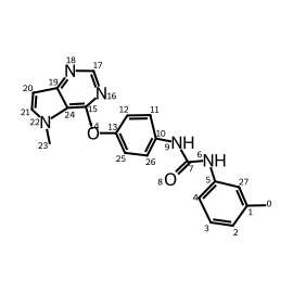 Cc1cccc(NC(=O)Nc2ccc(Oc3ncnc4ccn(C)c34)cc2)c1